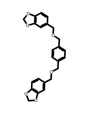 c1cc(COCc2ccc3c(c2)OCO3)ccc1COCc1ccc2c(c1)OCO2